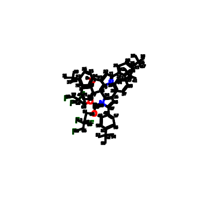 COc1ccccc1/C(=C1/N=C(c2ccc(C(C)(C)C)cc2)C=C1c1ccc(C(C)(C)C)cc1)c1c(-c2ccc(C(C)(C)C)cc2)cc(-c2ccc(C(C)(C)C)cc2)n1B(OCC(F)(F)CF)OCC(F)(F)CF